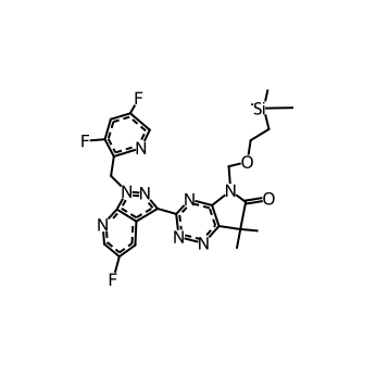 CC1(C)C(=O)N(COCC[Si](C)(C)C)c2nc(-c3nn(Cc4ncc(F)cc4F)c4ncc(F)cc34)nnc21